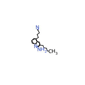 CCCCCc1cc2c(CCCC#N)cccc2nc1N